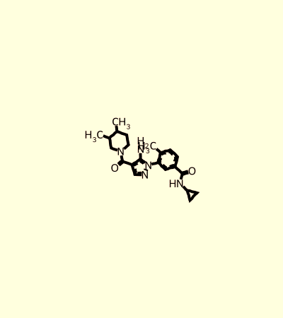 Cc1ccc(C(=O)NC2CC2)cc1-n1ncc(C(=O)N2CCC(C)C(C)C2)c1N